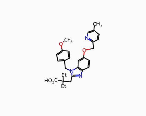 CCC(CC)(Cc1nc2ccc(OCc3ccc(C)cn3)cc2n1Cc1ccc(OC(F)(F)F)cc1)C(=O)O